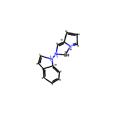 B1N(n2ccc3ccccc32)C=C2C=CC=[N+]12